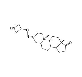 C[C@]12CCC(=NOC3CNC3)CC1CCC1C2CC[C@]2(C)C(=O)CCC12